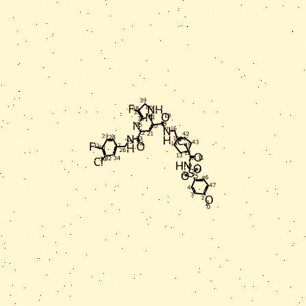 COc1ccc(S(=O)(=O)NC(=O)C23CCC(CNC(=O)C4=CC(C(=O)NCc5ccc(F)c(Cl)c5)=NC5=C(F)CNN45)(CC2)CC3)cc1